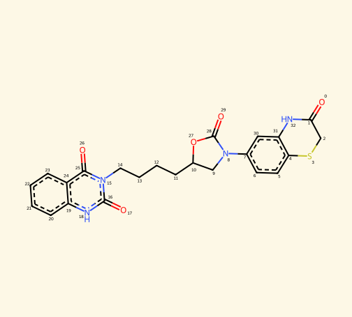 O=C1CSc2ccc(N3CC(CCCCn4c(=O)[nH]c5ccccc5c4=O)OC3=O)cc2N1